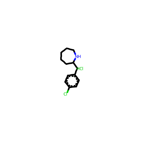 Cl.Clc1ccc(CC2CCCCCN2)cc1